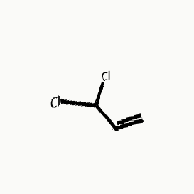 C=[C]C(Cl)Cl